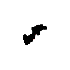 CC(C)(C)c1ccc2c(c1)C1(c3cc(C(C)(C)C)ccc3-2)c2ccccc2-c2c(N(c3ccc4c(c3)C(C)(C)c3cc(-c5cc(C(C)(C)C)cc6c5-c5ccc(C(C)(C)C)cc5C65c6ccccc6-c6c(N(c7ccc(-c8ccccc8)cc7)c7ccccc7-c7ccccc7)cccc65)ccc3-4)c3ccccc3-c3ccccc3)cccc21